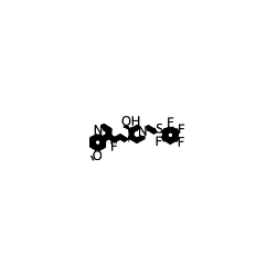 COc1ccc2nccc([C@H](F)CC[C@@H]3CCN(CCSc4c(F)cc(F)c(F)c4F)C[C@@H]3CO)c2c1